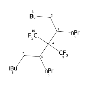 CCCC(CC(C)CC)C(C(CCC)CC(C)CC)(C(F)(F)F)C(F)(F)F